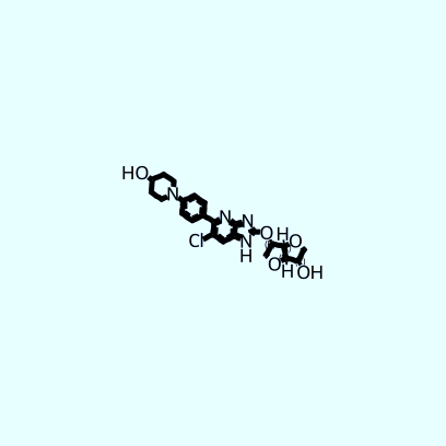 OC1CCN(c2ccc(-c3nc4nc(O[C@@H]5CO[C@H]6[C@@H]5OC[C@H]6O)[nH]c4cc3Cl)cc2)CC1